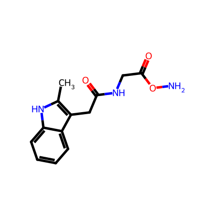 Cc1[nH]c2ccccc2c1CC(=O)NCC(=O)ON